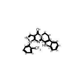 O=c1c2cnn(-c3ccccc3C(F)(F)F)c2nc2n1CCc1c-2[nH]c2ccccc12